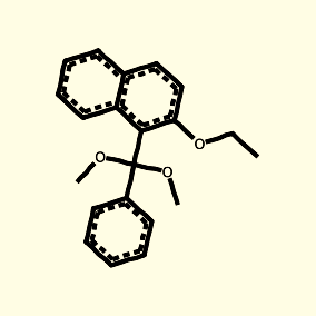 CCOc1ccc2ccccc2c1C(OC)(OC)c1ccccc1